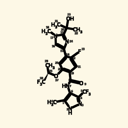 Cc1[nH]nc(C(F)(F)F)c1NC(=O)c1cc(F)c(-c2cn(C)c(C(C)(C)O)n2)cc1O[C@@H](C)C(F)(F)F